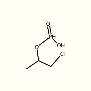 CC(CCl)O[PH](=O)O